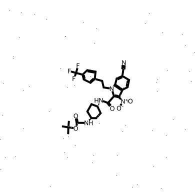 CC(C)(C)OC(=O)N[C@H]1CC[C@H](NC(=O)c2c([N+](=O)[O-])c3ccc(C#N)cc3n2CCc2ccc(C(F)(F)F)cc2)CC1